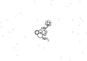 CC1(C)OB(CNC(=O)[C@@H]2Cc3cccc4c3N2C(=O)[C@@H](N)CC4)OC1(C)C